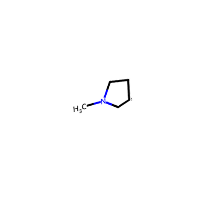 CN1C[C]CC1